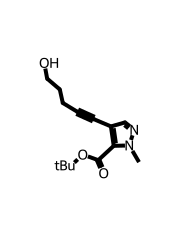 Cn1ncc(C#CCCCO)c1C(=O)OC(C)(C)C